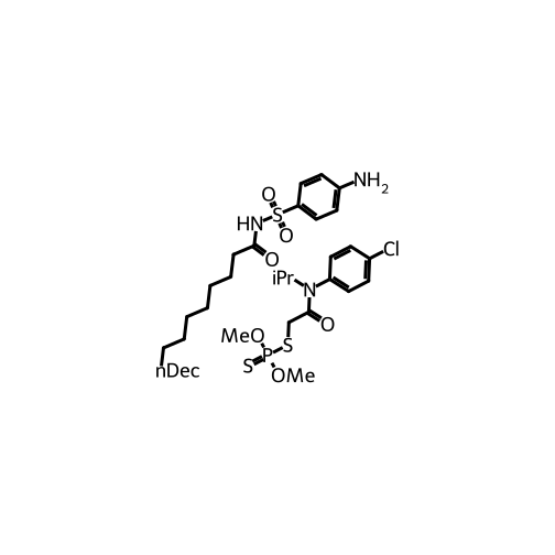 CCCCCCCCCCCCCCCCCC(=O)NS(=O)(=O)c1ccc(N)cc1.COP(=S)(OC)SCC(=O)N(c1ccc(Cl)cc1)C(C)C